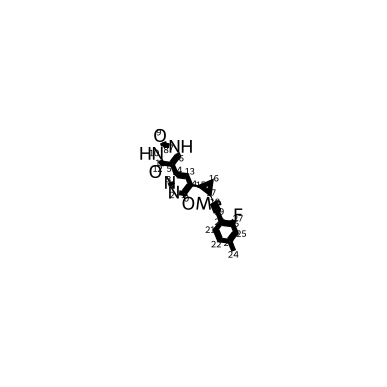 COc1nnc(-c2c[nH]c(=O)[nH]c2=O)cc1[C@H]1C[C@@H]1C#Cc1ccc(C)cc1F